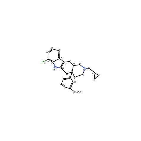 COc1cccc(C23CCN(CC4CC4)CC2Cc2c([nH]c4c(Cl)cccc24)C3)c1